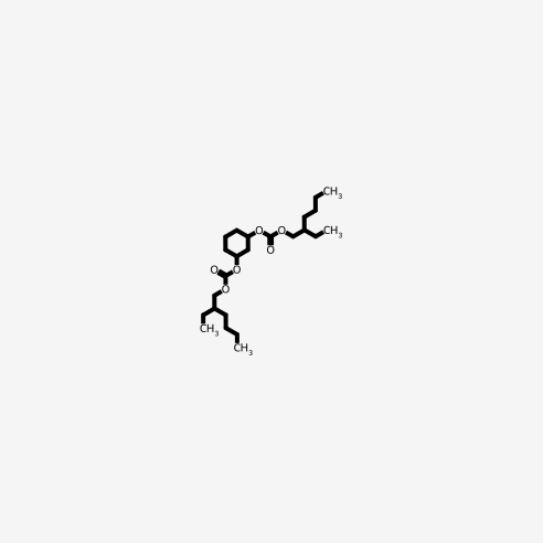 CCCCC(CC)COC(=O)OC1CCCC(OC(=O)OCC(CC)CCCC)C1